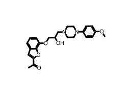 COc1ccc(N2CCN(CC(O)COc3cccc4cc(C(C)=O)oc34)CC2)cc1